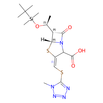 C[C@H](O[Si](C)(C)C(C)(C)C)[C@@H]1C(=O)N2C(C(=O)O)/C(=C\Sc3nnnn3C)S[C@H]12